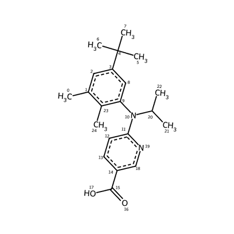 Cc1cc(C(C)(C)C)cc(N(c2ccc(C(=O)O)cn2)C(C)C)c1C